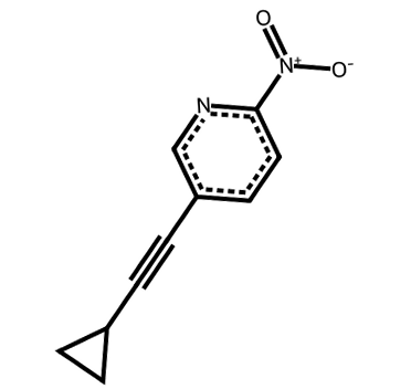 O=[N+]([O-])c1ccc(C#CC2CC2)cn1